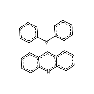 c1ccc(N(c2ccccc2)c2c3ccccc3nc3ccccc23)cc1